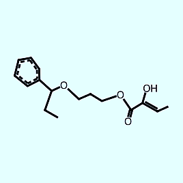 CC=C(O)C(=O)OCCCOC(CC)c1ccccc1